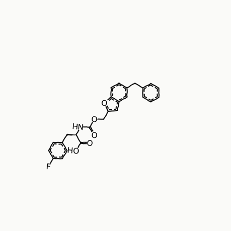 O=C(N[C@H](Cc1ccc(F)cc1)C(=O)O)OCc1cc2cc(Cc3ccccc3)ccc2o1